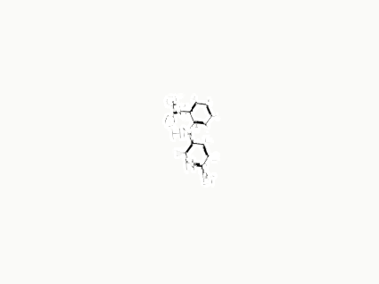 O=[N+]([O-])c1ccccc1Nc1ccc(Br)nc1